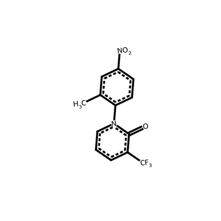 Cc1cc([N+](=O)[O-])ccc1-n1cccc(C(F)(F)F)c1=O